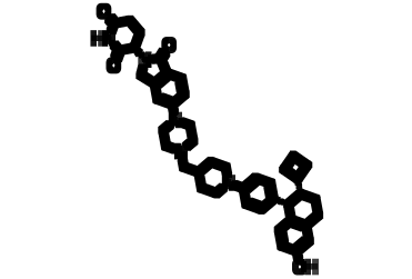 O=C1CC[C@@H](N2Cc3cc(N4CCN(CC5CCN(c6ccc([C@H]7c8ccc(O)cc8CC[C@H]7C7CCC7)cc6)CC5)CC4)ccc3C2=O)C(=O)N1